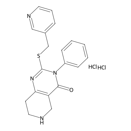 Cl.Cl.O=c1c2c(nc(SCc3cccnc3)n1-c1ccccc1)CCNC2